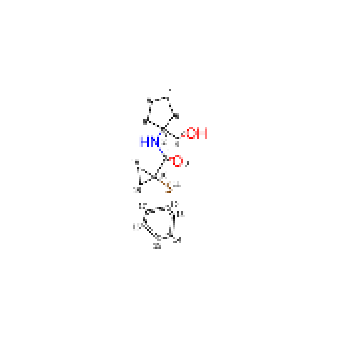 O=C(NC1(CO)CCCC1)C1(Sc2ccccc2)CC1